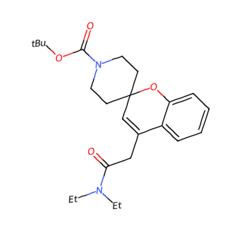 CCN(CC)C(=O)CC1=CC2(CCN(C(=O)OC(C)(C)C)CC2)Oc2ccccc21